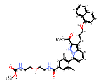 COC(=O)c1nn2c(-c3c(C)cc(C(=O)NCCOCCNC(=O)OC(C)(C)C)cc3C)cccc2c1CCCOc1cccc2ccccc12